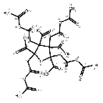 CC(=O)OC(=O)CC1(C(=O)O)OC(CC(=O)OC(C)=O)(C(=O)O)C(CC(=O)OC(C)=O)(C(=O)O)C1(CC(=O)OC(C)=O)C(=O)O